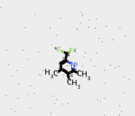 Cc1cc(C(F)F)nc(C)c1C